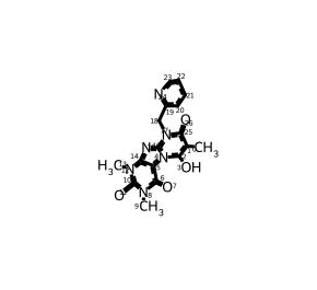 Cc1c(O)n2c3c(=O)n(C)c(=O)n(C)c3nc2n(Cc2ccccn2)c1=O